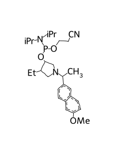 CCC1CN(C(C)c2ccc3cc(OC)ccc3c2)CC1OP(OCCC#N)N(C(C)C)C(C)C